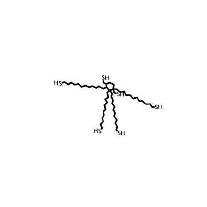 SCCCCCCCCCCCCC1C(CS)CCC(CS)(CCCCCCCCCCCCS)C1(CCCCCCCCCCCCS)CCCCCCCCCCCCS